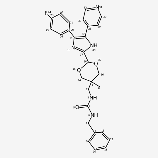 CC1(CNC(=O)NCc2ccccc2)COC(c2nc(-c3ccc(F)cc3)c(-c3ccncc3)[nH]2)OC1